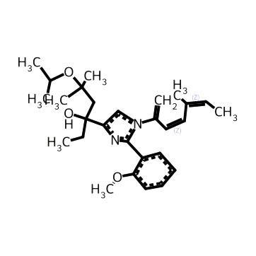 C=C(/C=C\C(C)=C/C)n1cc(C(O)(CC)CC(C)(C)OC(C)C)nc1-c1ccccc1OC